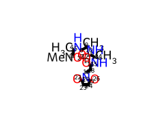 CNC(=O)C(C)NC(=O)C(C)NC(=O)C(C)NC(=O)CCN1C(=O)C=CC1=O